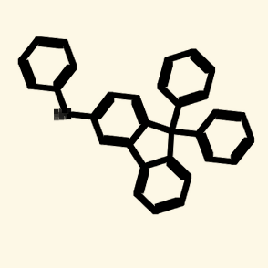 c1ccc(Nc2ccc3c(c2)-c2ccccc2C3(c2ccccc2)c2ccccc2)cc1